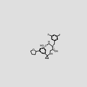 O=C(O)N[C@@H](Cc1cc(F)cc(F)c1)[C@@H](O)CNC1(c2cccc(C3CCCO3)c2)CC1